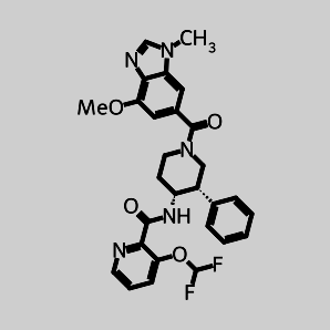 COc1cc(C(=O)N2CC[C@@H](NC(=O)c3ncccc3OC(F)F)[C@@H](c3ccccc3)C2)cc2c1ncn2C